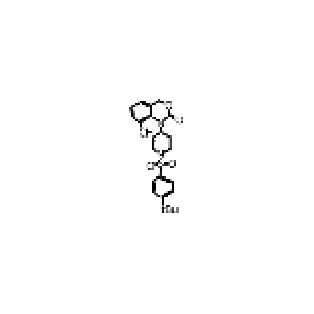 Cc1cccc2c1N(C1CCN(S(=O)(=O)c3ccc(C(C)(C)C)cc3)CC1)C(=O)OC2